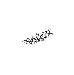 CC(C)(C)[Si](C)(C)Oc1ccc(NC(=O)N2CCC(c3ccccc3)CC2)nc1